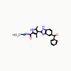 Cc1[nH]c(C(=O)NCCC(=O)O)c(C)c1-c1nc2cc(C(=O)c3ccccc3)ccc2[nH]1